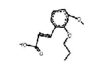 CCCOc1c(C=CC(=O)O)cccc1OC